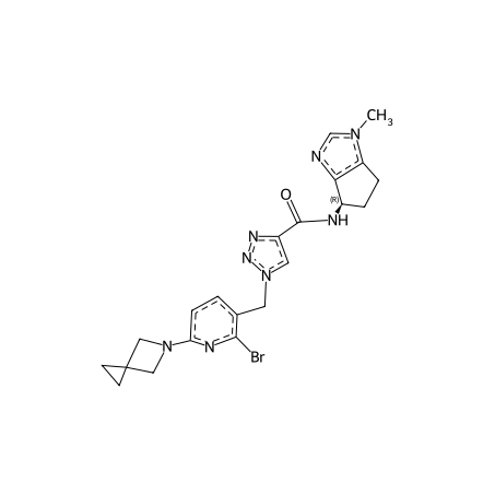 Cn1cnc2c1CC[C@H]2NC(=O)c1cn(Cc2ccc(N3CC4(CC4)C3)nc2Br)nn1